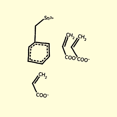 C=CC(=O)[O-].C=CC(=O)[O-].C=CC(=O)[O-].[Sn+3][CH2]c1ccccc1